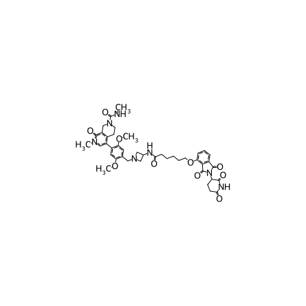 CNC(=O)N1CCc2c(-c3cc(OC)c(CN4CC(NC(=O)CCCCCOc5cccc6c5C(=O)N(C5CCC(=O)NC5=O)C6=O)C4)cc3OC)cn(C)c(=O)c2C1